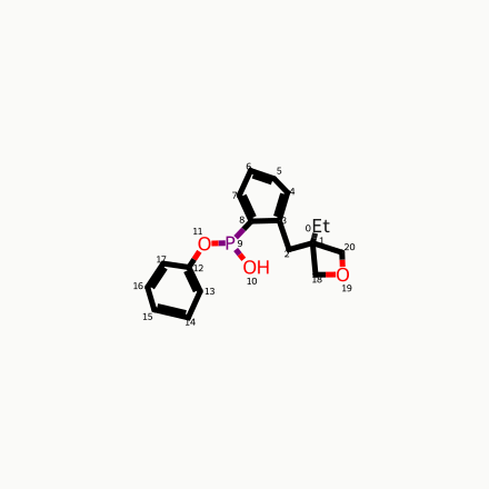 CCC1(Cc2ccccc2P(O)Oc2ccccc2)COC1